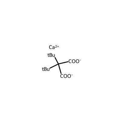 CC(C)(C)C(C(=O)[O-])(C(=O)[O-])C(C)(C)C.[Ca+2]